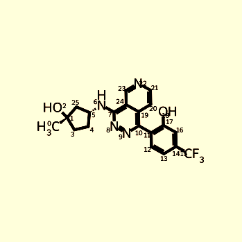 C[C@]1(O)CC[C@@H](Nc2nnc(-c3ccc(C(F)(F)F)cc3O)c3ccncc23)C1